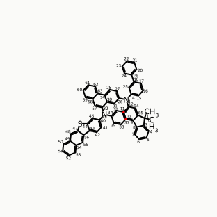 CC1(C)c2ccccc2-c2ccc(N(c3cccc(-c4ccccc4)c3)c3ccc4c(c3)c(N(c3ccccc3)c3ccc5c(c3)sc3cc6ccccc6cc35)cc3ccccc34)cc21